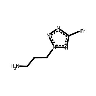 CC(C)c1nnn(CCCN)n1